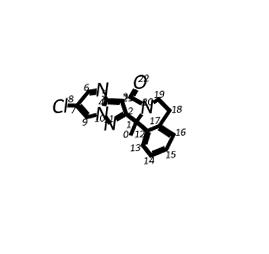 CC1(c2cc3ncc(Cl)cn3n2)c2ccccc2CCN1C=O